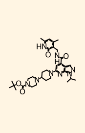 Cc1cc(C)c(CNC(=O)c2cc(N3CCC(N4CCN(C(=O)OC(C)(C)C)CC4)CC3)nc3c2cnn3C(C)C)c(=O)[nH]1